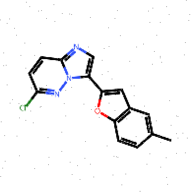 Cc1ccc2oc(-c3cnc4ccc(Cl)nn34)cc2c1